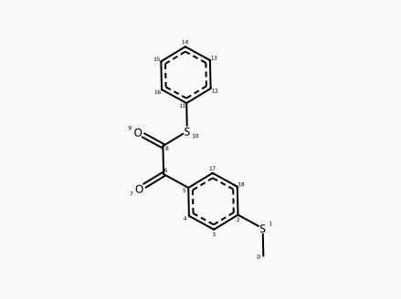 CSc1ccc(C(=O)C(=O)Sc2ccccc2)cc1